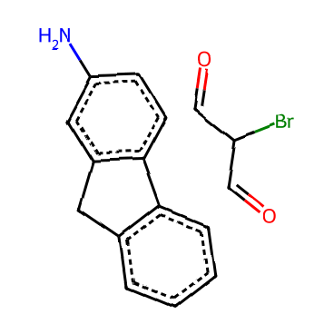 Nc1ccc2c(c1)Cc1ccccc1-2.O=CC(Br)C=O